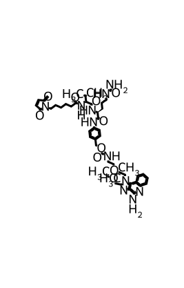 CCOCc1nc2c(N)nc3ccccc3c2n1CC(C)(C)OCCNC(=O)OCc1ccc(NC(=O)[C@H](CCCNC(N)=O)NC(=O)[C@@H](NC(=O)CCCCCN2C(=O)C=CC2=O)C(C)C)cc1